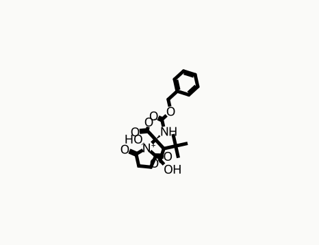 CC(C)(C)C(C(=O)O)[C@](NC(=O)OCc1ccccc1)(C(=O)[O-])[N+]1(O)C(=O)CCC1=O